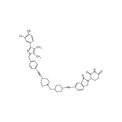 Cc1c(-c2ccc(C#N)c(Cl)c2)nn(Cc2ccc(C#CC3CCN(CC4CCC(C#Cc5ccc6c(c5)C(=O)N(C5CCC(=O)NC5=O)C6)CC4)CC3)cc2)c1C